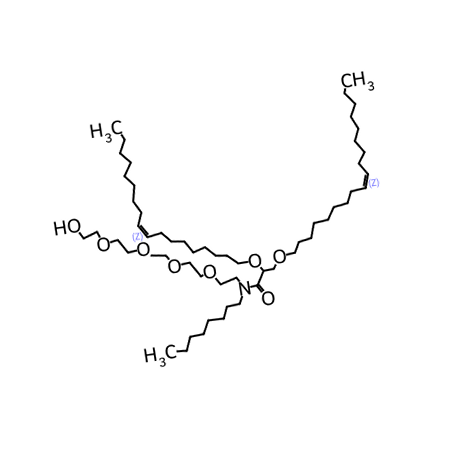 CCCCCCCC/C=C\CCCCCCCCOCC(OCCCCCCCC/C=C\CCCCCCCC)C(=O)N(CCCCCCCC)CCOCCOCCOCCOCCO